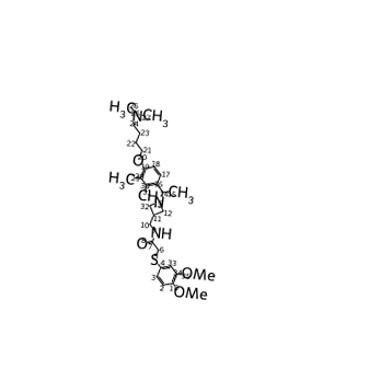 COc1ccc(SCC(=O)NCC2CN(C(C)c3ccc(OCCCCN(C)C)c(C)c3C)C2)cc1OC